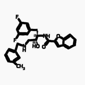 Cc1cccc(CNC[C@@H](O)[C@H](Cc2cc(F)cc(F)c2)NC(=O)c2cc3ccccc3o2)c1